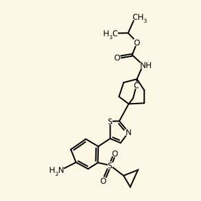 CC(C)OC(=O)NC12CCC(c3ncc(-c4ccc(N)cc4S(=O)(=O)C4CC4)s3)(CC1)CC2